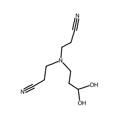 N#CCCN(CCC#N)CCC(O)O